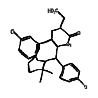 CC1(C)CCCC1C(c1ccc(Cl)cc1)C1NC(=O)C(CC(=O)O)CC1c1cccc(Cl)c1